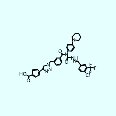 O=C(O)c1ccc(-c2cn(Cc3cccc(C(=O)N(C(=O)NN=Cc4ccc(Cl)c(C(F)(F)F)c4)c4ccc(N5CCCCC5)cc4)c3)nn2)cc1